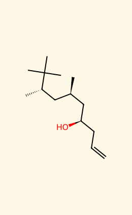 C=CC[C@@H](O)C[C@H](C)C[C@H](C)C(C)(C)C